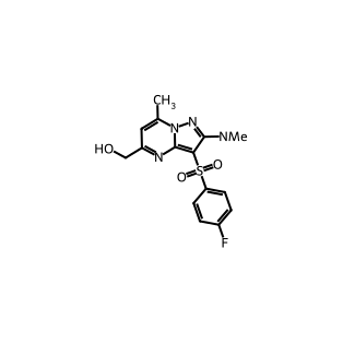 CNc1nn2c(C)cc(CO)nc2c1S(=O)(=O)c1ccc(F)cc1